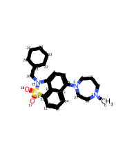 CN1CCCN(c2ccc3c4c(cccc24)S(=O)(=O)N3CC2CCCCC2)CC1